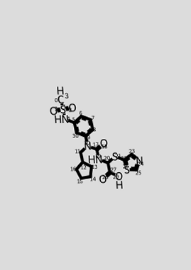 CS(=O)(=O)Nc1cccc(N(CC2CCCC2)C(=O)NC(Sc2cncs2)C(=O)O)c1